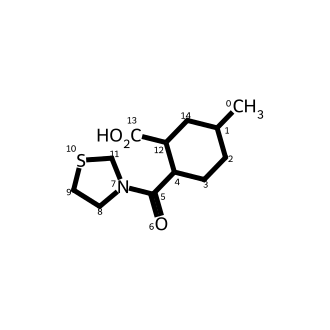 CC1CCC(C(=O)N2CCSC2)C(C(=O)O)C1